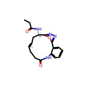 CCC(=O)N[C@H]1C/C=C/CCC(=O)Nc2ccccc2-c2nnc1o2